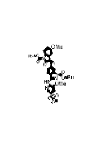 COc1ccc2c(c1)[C@]1(C[C@H]1c1ccc3c(Nc4ncc(S(=O)(=O)N(C)C)cc4OC)nn(C(=O)OC(C)(C)C)c3c1)C(=O)N2C(=O)OC(C)(C)C